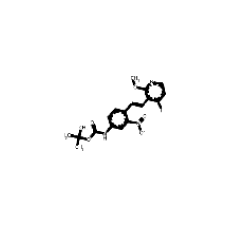 COc1nccc(I)c1C=Cc1ccc(NC(=O)OC(C)(C)C)cc1[N+](=O)[O-]